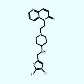 O=c1ccc2ncccc2n1CCN1CCC(NCc2cc(Br)c(Br)s2)CC1